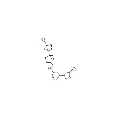 c1cc(NCC23CCC(c4nc(C5CC5)no4)(CC2)C3)cc(-c2cc(C3CC3)on2)c1